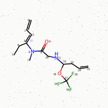 C=C/C=C(\CC)N(C)C(=O)CNC(CC=C)OC(F)(F)F